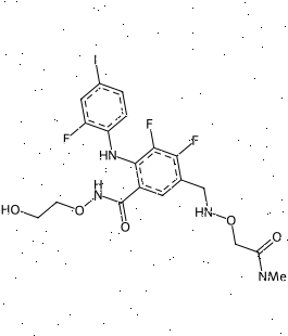 CNC(=O)CONCc1cc(C(=O)NOCCO)c(Nc2ccc(I)cc2F)c(F)c1F